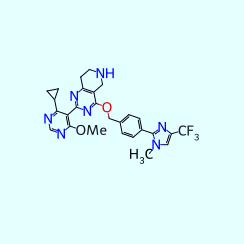 COc1ncnc(C2CC2)c1-c1nc2c(c(OCc3ccc(-c4nc(C(F)(F)F)cn4C)cc3)n1)CNCC2